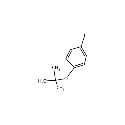 CC(C)(C)Oc1ccc(I)cc1